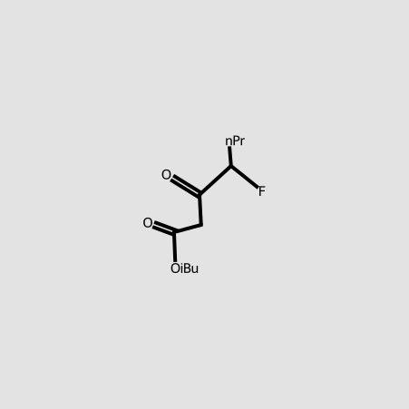 CCCC(F)C(=O)CC(=O)OCC(C)C